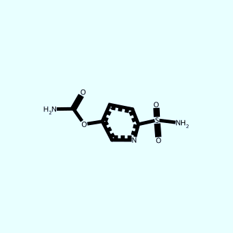 NC(=O)Oc1ccc(S(N)(=O)=O)nc1